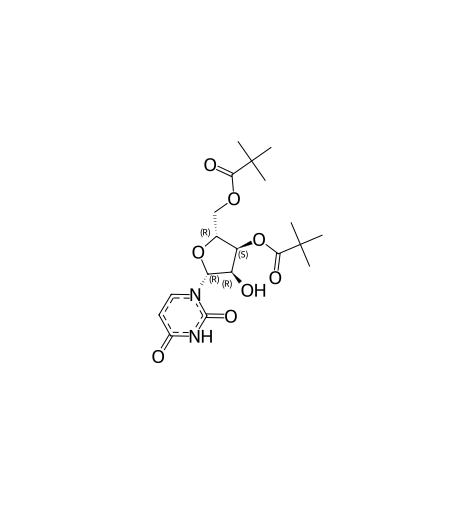 CC(C)(C)C(=O)OC[C@H]1O[C@@H](n2ccc(=O)[nH]c2=O)[C@H](O)[C@@H]1OC(=O)C(C)(C)C